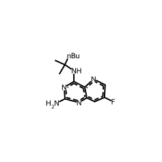 CCCCC(C)(C)Nc1nc(N)nc2cc(F)cnc12